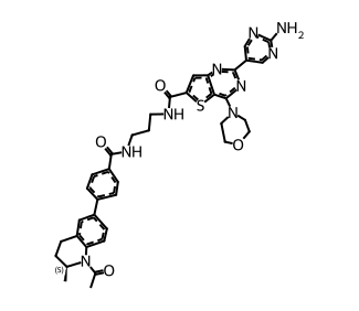 CC(=O)N1c2ccc(-c3ccc(C(=O)NCCCNC(=O)c4cc5nc(-c6cnc(N)nc6)nc(N6CCOCC6)c5s4)cc3)cc2CC[C@@H]1C